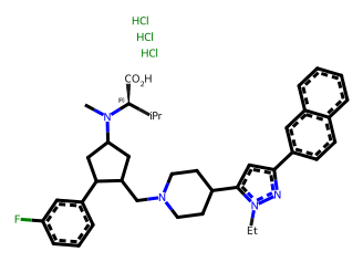 CCn1nc(-c2ccc3ccccc3c2)cc1C1CCN(CC2CC(N(C)[C@@H](C(=O)O)C(C)C)CC2c2cccc(F)c2)CC1.Cl.Cl.Cl